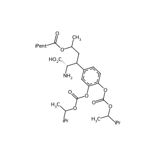 CCCC(C)C(=O)OC(C)CC(c1ccc(OC(=O)OC(C)C(C)C)c(OC(=O)OC(C)C(C)C)c1)[C@H](N)C(=O)O